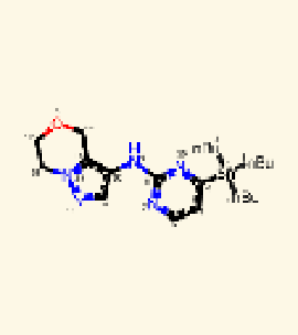 CCC[CH2][Sn]([CH2]CCC)([CH2]CCC)[c]1ccnc(Nc2cnn3c2COCC3)n1